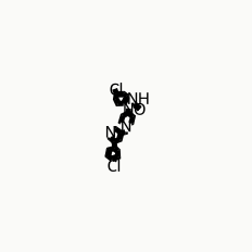 O=c1[nH]c2cc(Cl)ccc2n1C1CCN(Cc2cncc(-c3ccc(Cl)cc3)c2)CC1